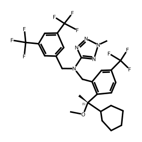 CO[C@](C)(c1ccc(C(F)(F)F)cc1CN(Cc1cc(C(F)(F)F)cc(C(F)(F)F)c1)c1nnn(C)n1)C1CCCCC1